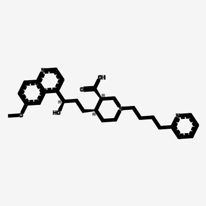 COc1ccc2nccc([C@H](O)CC[C@@H]3CCN(CCCCc4ccccn4)C[C@@H]3C(=O)O)c2c1